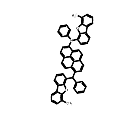 Cc1cccc2c1oc1c(C(c3ccccc3)c3ccc4ccc5c(N(c6ccccc6)c6cccc7c6oc6c(C)cccc67)ccc6ccc3c4c65)cccc12